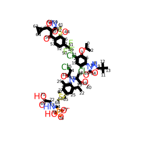 CC(C)Oc1cc(-n2nc(C(C)(C)C)oc2=O)c(Cl)cc1Cl.CCc1cccc(C)c1N(C(=O)CCl)C(C)COC.CS(=O)(=O)c1cc(C(F)(F)F)ccc1C(=O)c1cnoc1C1CC1.C[S+](C)C.O=C(O)CNCP(=O)([O-])O